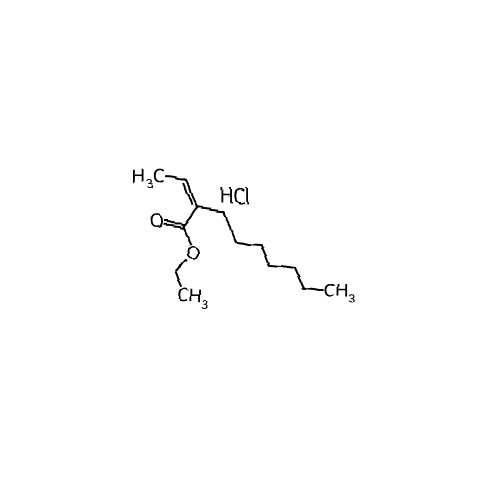 CC=C(CCCCCCC)C(=O)OCC.Cl